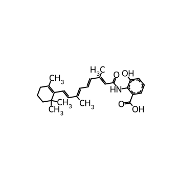 CC(C=CC1=C(C)CCCC1(C)C)=CC=CC(C)=CC(=O)Nc1c(O)cccc1C(=O)O